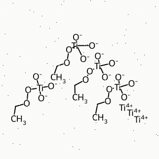 CCO[O][Ti]([O-])([O-])[O-].CCO[O][Ti]([O-])([O-])[O-].CCO[O][Ti]([O-])([O-])[O-].CCO[O][Ti]([O-])([O-])[O-].[Ti+4].[Ti+4].[Ti+4]